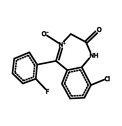 O=C1C[N+]([O-])=C(c2ccccc2F)c2cccc(Cl)c2N1